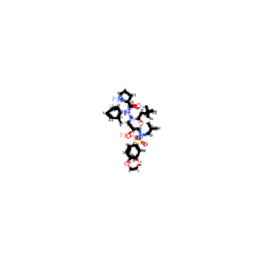 CC(C)CN(C[C@@H](O)[C@H](Cc1ccccc1)N(NC(=O)C1CCCN1)C(=O)CC(C)(C)C)S(=O)(=O)c1ccc2c(c1)OCCO2